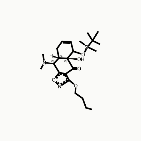 CCCCOc1noc2c1C(=O)[C@@]1(O)C(O[Si](C)(C)C(C)(C)C)C=CC[C@H]1[C@@H]2N(C)C